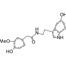 COc1cc(CC(=O)NCCc2c[nH]c3ccc(O)cc23)ccc1O